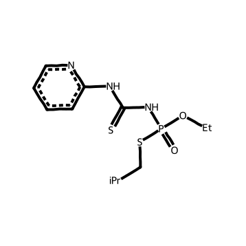 CCOP(=O)(NC(=S)Nc1ccccn1)SCC(C)C